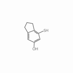 Oc1cc(S)c2c(c1)CCC2